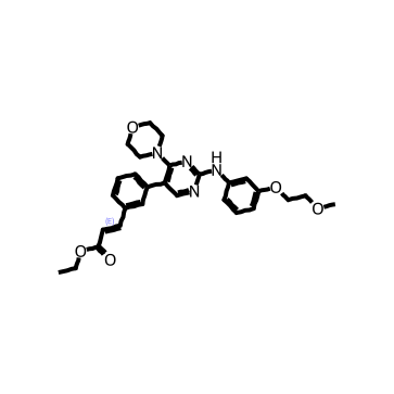 CCOC(=O)/C=C/c1cccc(-c2cnc(Nc3cccc(OCCOC)c3)nc2N2CCOCC2)c1